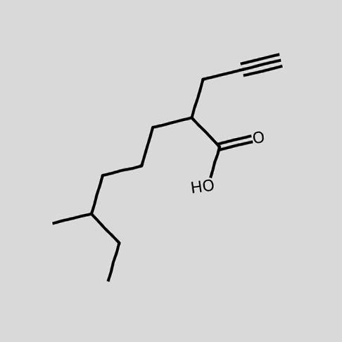 C#CCC(CCCC(C)CC)C(=O)O